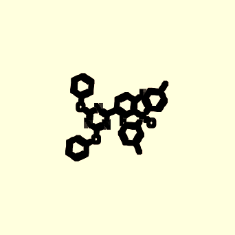 Cc1ccc(P(=O)(c2cccc(C)c2)c2c(F)ccc(-c3nc(Oc4ccccc4)nc(Oc4ccccc4)n3)c2F)cc1